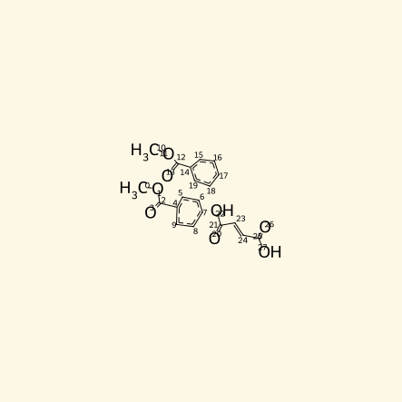 COC(=O)c1ccccc1.COC(=O)c1ccccc1.O=C(O)/C=C/C(=O)O